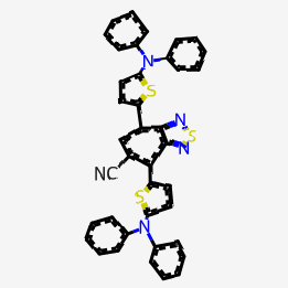 N#Cc1cc(-c2ccc(N(c3ccccc3)c3ccccc3)s2)c2nsnc2c1-c1ccc(N(c2ccccc2)c2ccccc2)s1